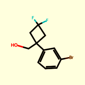 OCC1(c2cccc(Br)c2)CC(F)(F)C1